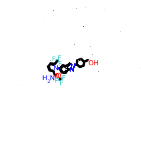 NC(=O)C1C=CC=C(C(F)(F)F)N1c1cc2cn(C3CCC(CO)CC3)nc2cc1OC(F)(F)F